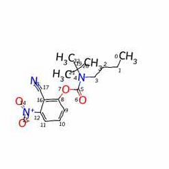 CCCCN(C(=O)Oc1cccc([N+](=O)[O-])c1C#N)C(C)(C)C